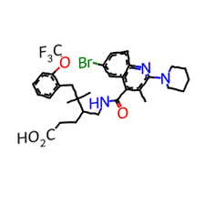 Cc1c(N2CCCCC2)nc2ccc(Br)cc2c1C(=O)NCC(CCC(=O)O)C(C)(C)Cc1ccccc1OC(F)(F)F